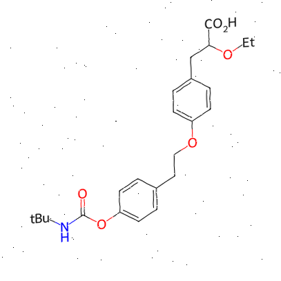 CCOC(Cc1ccc(OCCc2ccc(OC(=O)NC(C)(C)C)cc2)cc1)C(=O)O